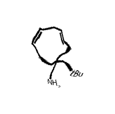 CC(C)(C)C1(N)[CH]C=CC=C1